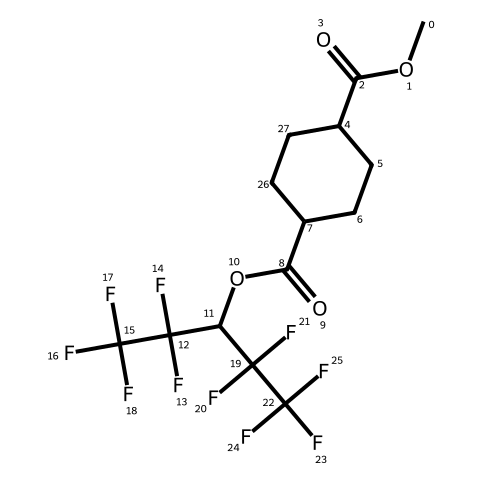 COC(=O)C1CCC(C(=O)OC(C(F)(F)C(F)(F)F)C(F)(F)C(F)(F)F)CC1